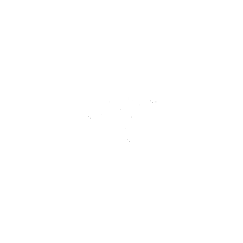 CC(CC#N)(CC#N)CC#N